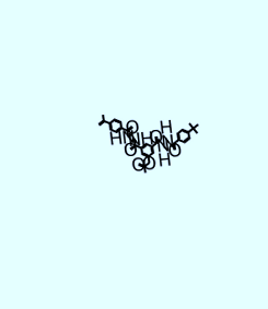 C=C(C)c1ccc(C(=O)NNC(=O)c2cc(OC(C)=O)cc(C(=O)NNC(=O)c3ccc(C(C)(C)C)cc3)c2)cc1